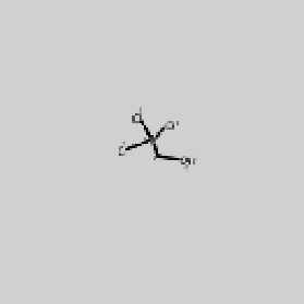 O[CH2][Ir]([Cl])([Cl])[Cl]